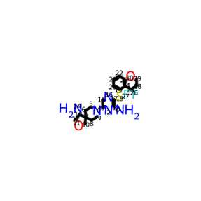 Nc1nc(N2CCC3(CC2)COC[C@H]3N)cnc1Sc1cccc2c1C(F)(F)CCO2